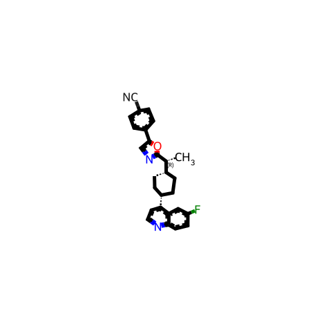 C[C@@H](c1ncc(-c2ccc(C#N)cc2)o1)[C@H]1CC[C@@H](c2ccnc3ccc(F)cc32)CC1